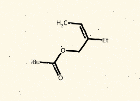 CC=C(CC)COC(=O)C(C)CC